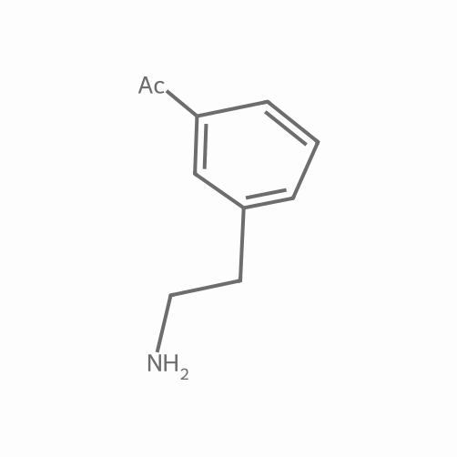 CC(=O)c1cccc(CCN)c1